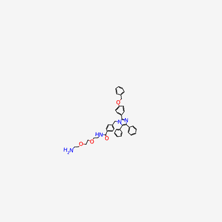 NCCOCCOCCNC(=O)c1ccc(Cn2c(-c3ccc(OCc4ccccc4)cc3)nc(-c3ccccc3)c2-c2ccccc2)cc1